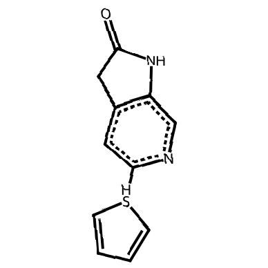 O=C1Cc2cc([SH]3C=CC=C3)ncc2N1